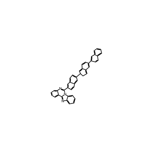 C1=c2ccc(-c3ccc4ccccc4c3)cc2=CCC1c1ccc2cc(-c3nc4ccccc4c4nc5ccccc5n34)ccc2c1